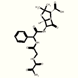 CC1(C)S[C@@H]2[C@H](NC(=O)C(NC(=O)CNC(=O)C(N)=O)c3ccccc3)C(=O)N2[C@H]1C(=O)O